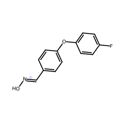 O/N=C/c1ccc(Oc2ccc(F)cc2)cc1